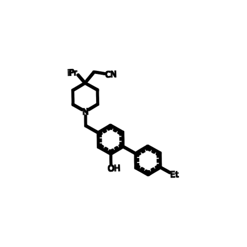 CCc1ccc(-c2ccc(CN3CCC(CC#N)(C(C)C)CC3)cc2O)cc1